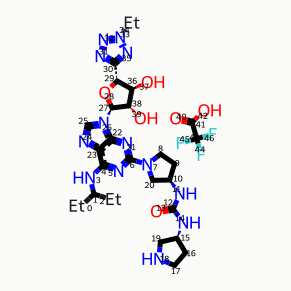 CCC(CC)Nc1nc(N2CC[C@@H](NC(=O)N[C@@H]3CCNC3)C2)nc2c1ncn2[C@@H]1O[C@H](c2nnn(CC)n2)[C@@H](O)[C@@H]1O.O=C(O)C(F)(F)F